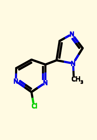 Cn1cncc1-c1ccnc(Cl)n1